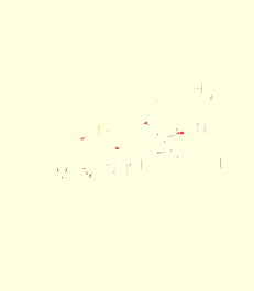 COc1cccc(C(=O)N[C@H]2C[C@H]3CC[C@@H](C2)N3c2ccc(C(=O)NC(C)c3c(F)cc(Br)cc3F)cn2)c1C